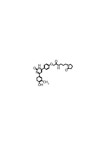 CC1=C(O)CCC(c2cc(-c3ccc(OCC(=O)NCCCN4CCCC4=O)cc3)[nH]c(=O)n2)=C1